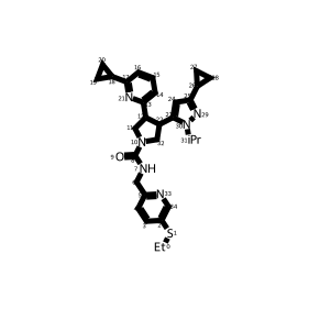 CCSc1ccc(CNC(=O)N2CC(c3cccc(C4CC4)n3)C(c3cc(C4CC4)nn3C(C)C)C2)nc1